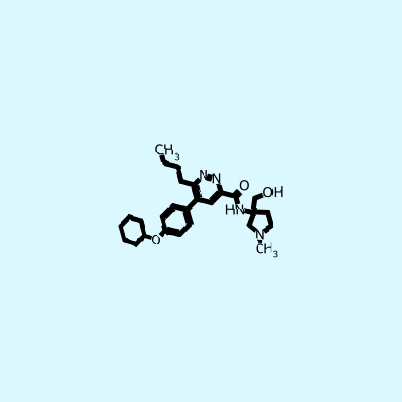 CCCCc1nnc(C(=O)NC2(CO)CCN(C)C2)cc1-c1ccc(OC2CCCCC2)cc1